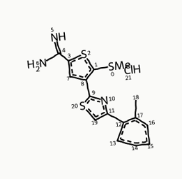 CSc1sc(C(=N)N)cc1-c1nc(-c2ccccc2C)cs1.Cl